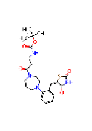 CC(C)(C)OC(=O)NCCC(=O)N1CCCN(c2ccccc2C=C2SC(=O)NC2=O)CC1